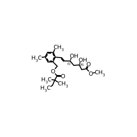 CCC(C)(C)C(=O)OCc1cc(C)cc(C)c1C=C[C@@H](O)C[C@@H](O)CC(=O)OC